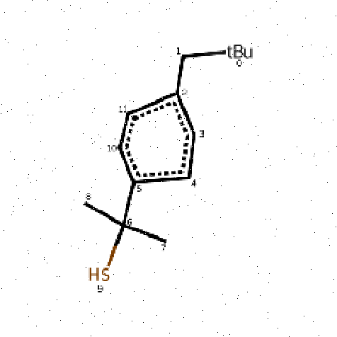 CC(C)(C)Cc1ccc(C(C)(C)S)cc1